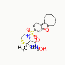 CC1(C)SCCN(S(=O)(=O)c2ccc3c4c(oc3c2)CCCCCC4)C1C(=O)NO